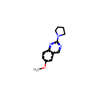 COc1ccc2nc(N3CCCC3)ncc2c1